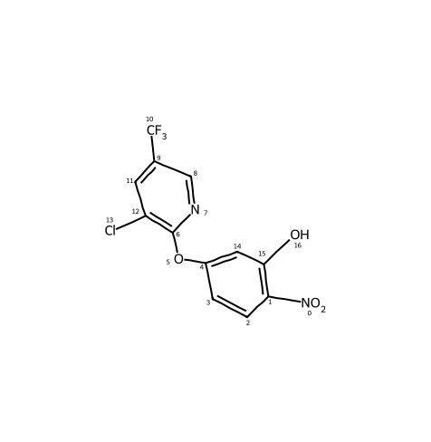 O=[N+]([O-])c1ccc(Oc2ncc(C(F)(F)F)cc2Cl)cc1O